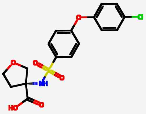 O=C(O)[C@@]1(NS(=O)(=O)c2ccc(Oc3ccc(Cl)cc3)cc2)CCOC1